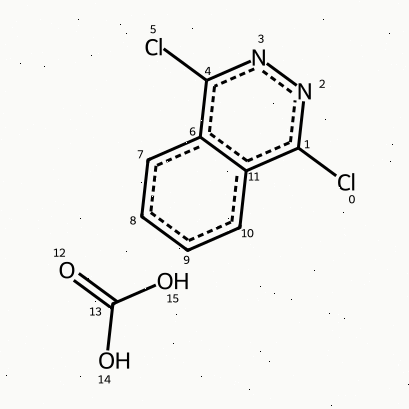 Clc1nnc(Cl)c2ccccc12.O=C(O)O